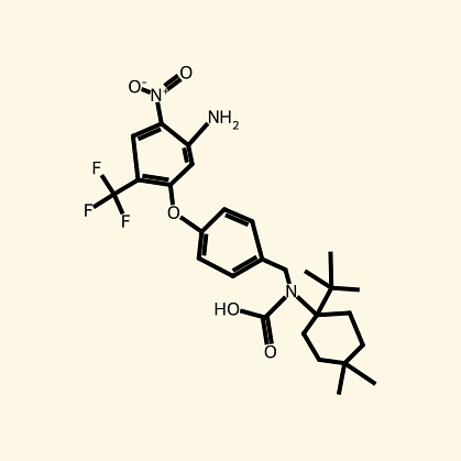 CC1(C)CCC(N(Cc2ccc(Oc3cc(N)c([N+](=O)[O-])cc3C(F)(F)F)cc2)C(=O)O)(C(C)(C)C)CC1